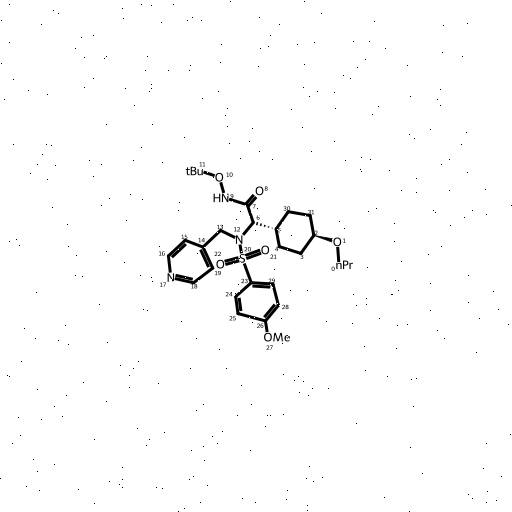 CCCO[C@H]1CC[C@H](C(C(=O)NOC(C)(C)C)N(Cc2ccncc2)S(=O)(=O)c2ccc(OC)cc2)CC1